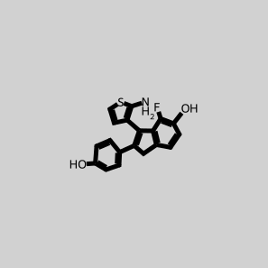 Nc1sccc1C1=C(c2ccc(O)cc2)Cc2ccc(O)c(F)c21